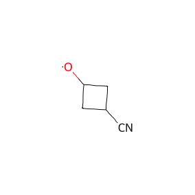 N#CC1CC([O])C1